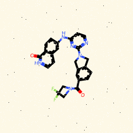 O=C(c1ccc2c(c1)CN(c1nccc(Nc3ccc4c(=O)[nH]ccc4c3)n1)C2)N1CC(F)(F)C1